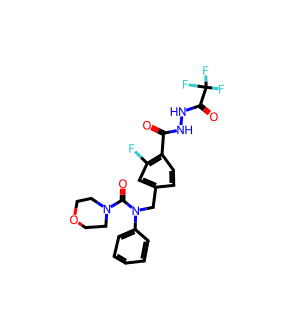 O=C(NNC(=O)C(F)(F)F)c1ccc(CN(C(=O)N2CCOCC2)c2ccccc2)cc1F